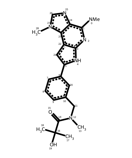 CNc1nc2[nH]c(-c3cccc(CN(C)C(=O)C(C)(C)O)c3)cc2c2c1ncn2C